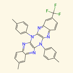 Cc1ccc(N2c3nc4ccc(C(F)(F)F)cc4nc3N(c3ccc(C)cc3)c3nc4ccc(C)cc4nc32)cc1